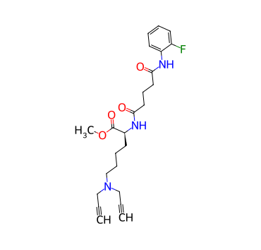 C#CCN(CC#C)CCCC[C@H](NC(=O)CCCC(=O)Nc1ccccc1F)C(=O)OC